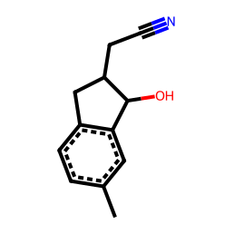 Cc1ccc2c(c1)C(O)C(CC#N)C2